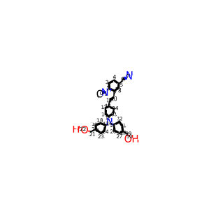 [C-]#[N+]c1ccc(C#N)cc1C=Cc1ccc(N(c2ccc(CO)cc2)c2ccc(CO)cc2)cc1